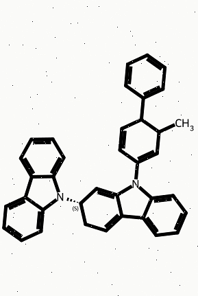 CC1C=C(n2c3c(c4ccccc42)=CC[C@H](n2c4ccccc4c4ccccc42)C=3)C=CC1c1ccccc1